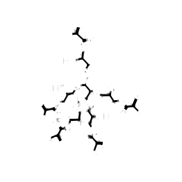 C=C(C)C(=O)OCC(O)COC[C@@H](OCC(O)COC(=O)C(=C)C)C(OCC(O)COC(=O)C(=C)C)[C@@H](COCC(O)COC(=O)C(=C)C)OCC(O)COC(=O)C(=C)C